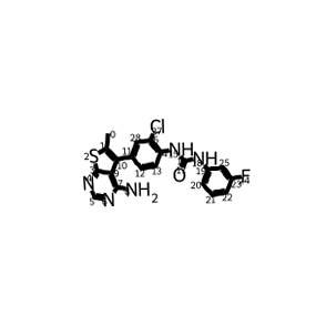 Cc1sc2ncnc(N)c2c1-c1ccc(NC(=O)Nc2cccc(F)c2)c(Cl)c1